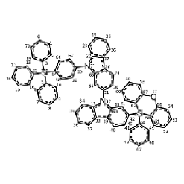 c1ccc([Si](c2ccccc2)(c2ccccc2)c2ccc(-n3c4ccccc4c4ccc(-n5c6ccccc6c6ccc([Si]7(c8ccccc8)c8ccccc8Oc8ccccc87)cc65)cc43)cc2)cc1